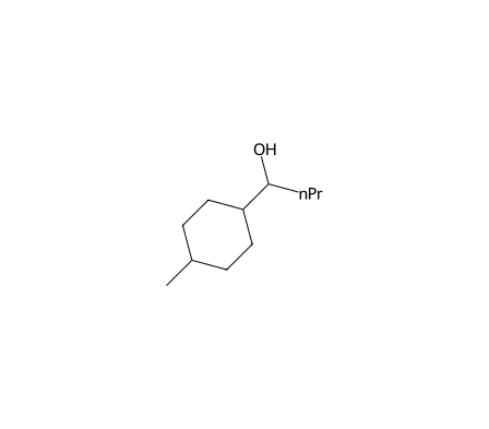 [CH2+][CH-]CC(O)C1CCC(C)CC1